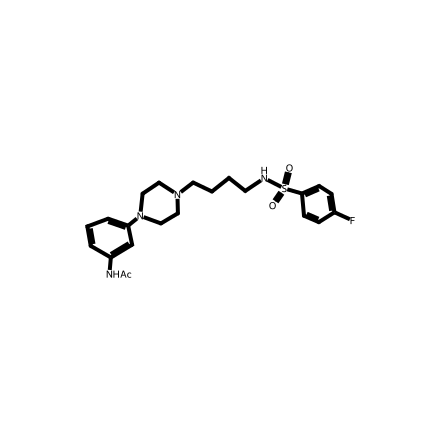 CC(=O)Nc1cccc(N2CCN(CCCCNS(=O)(=O)c3ccc(F)cc3)CC2)c1